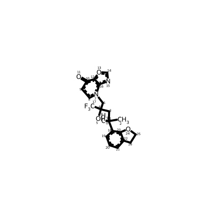 CC(C)(CC(O)(Cn1ccc(=O)c2ocnc21)C(F)(F)F)c1cccc2c1OCC2